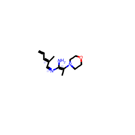 C=C/C=C(C)/C=N\C(N)=C(/C)N1CCOCC1